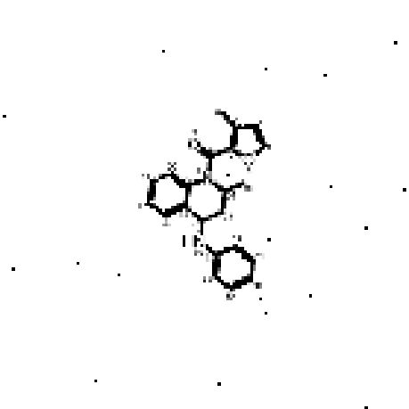 Cc1ccoc1C(=O)N1c2ccccc2C(Nc2ccccc2)CC1C